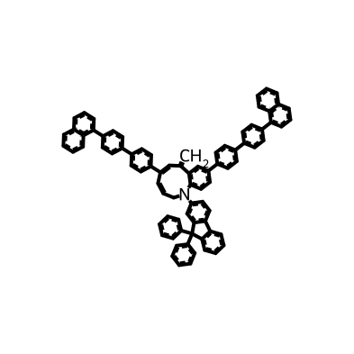 C=C1/C=C(c2ccc(-c3ccc(-c4cccc5ccccc45)cc3)cc2)\C=C/CN(c2ccc3c(c2)C(c2ccccc2)(c2ccccc2)c2ccccc2-3)c2ccc(-c3ccc(-c4ccc(-c5cccc6ccccc56)cc4)cc3)cc21